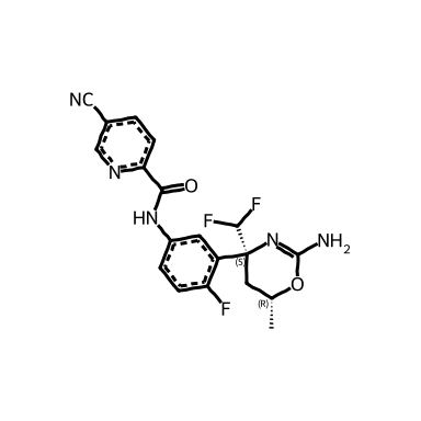 C[C@@H]1C[C@](c2cc(NC(=O)c3ccc(C#N)cn3)ccc2F)(C(F)F)N=C(N)O1